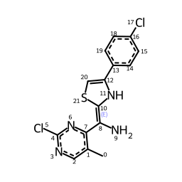 Cc1cnc(Cl)nc1/C(N)=C1/NC(c2ccc(Cl)cc2)=CS1